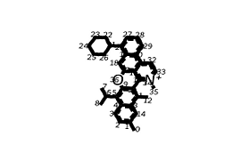 Cc1ccc2c(C(C)C)c3c(c(C)c2c1)-c1c2c(cc4c(C5CCCCC5)cccc4c2cc[n+]1C)O3